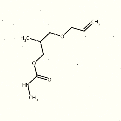 C=CCOCC(C)COC(=O)NC